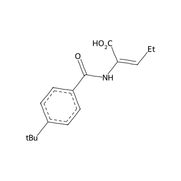 CC/C=C(/NC(=O)c1ccc(C(C)(C)C)cc1)C(=O)O